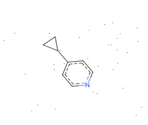 c1cc([C]2CC2)ccn1